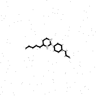 CCCCCC1CCOC([C@H]2CC[C@H](CCC)CC2)O1